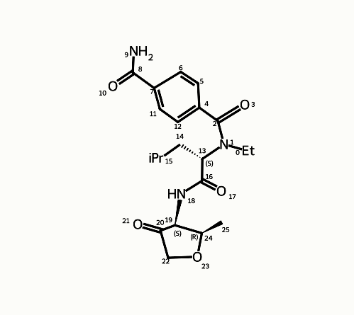 CCN(C(=O)c1ccc(C(N)=O)cc1)[C@@H](CC(C)C)C(=O)N[C@@H]1C(=O)CO[C@@H]1C